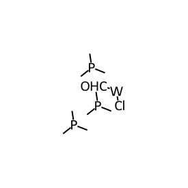 CP(C)C.CP(C)C.CP(C)C.O=[CH][W][Cl]